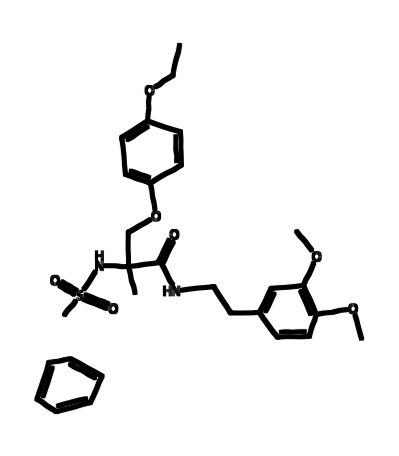 CCOc1ccc(OCC(C)(NS(C)(=O)=O)C(=O)NCCc2ccc(OC)c(OC)c2)cc1.c1ccccc1